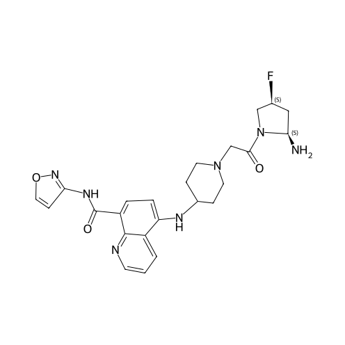 N[C@@H]1C[C@H](F)CN1C(=O)CN1CCC(Nc2ccc(C(=O)Nc3ccon3)c3ncccc23)CC1